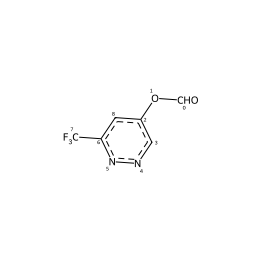 O=COc1cnnc(C(F)(F)F)c1